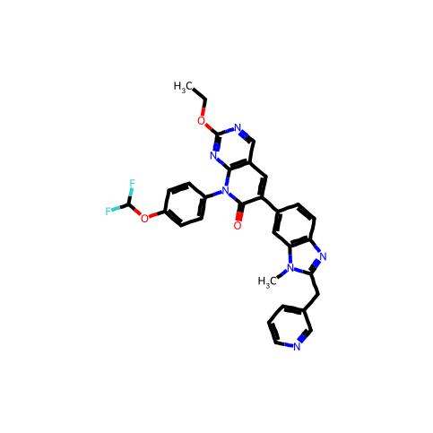 CCOc1ncc2cc(-c3ccc4nc(Cc5cccnc5)n(C)c4c3)c(=O)n(-c3ccc(OC(F)F)cc3)c2n1